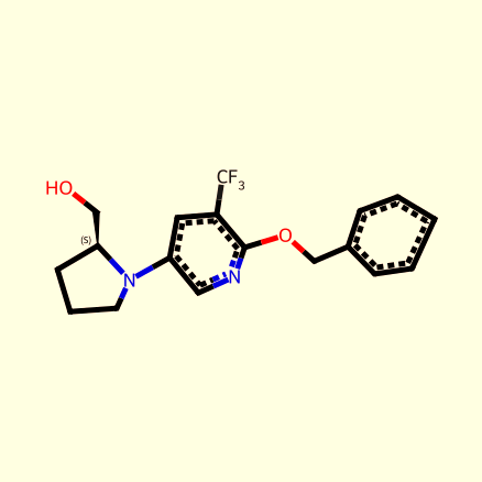 OC[C@@H]1CCCN1c1cnc(OCc2ccccc2)c(C(F)(F)F)c1